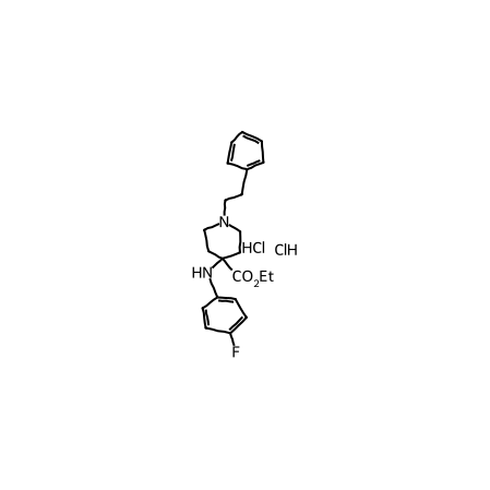 CCOC(=O)C1(Nc2ccc(F)cc2)CCN(CCc2ccccc2)CC1.Cl.Cl